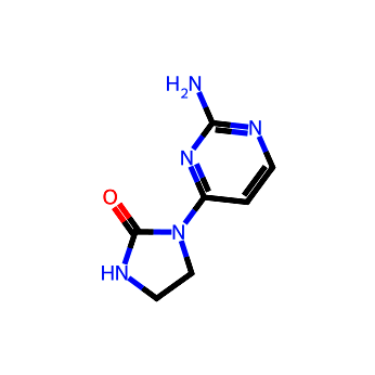 Nc1nccc(N2CCNC2=O)n1